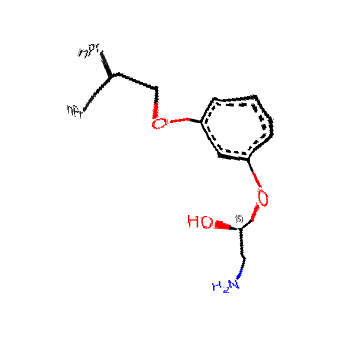 CCCC(CCC)COc1cccc(O[C@H](O)CN)c1